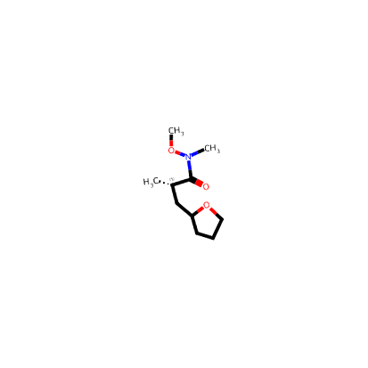 CON(C)C(=O)[C@@H](C)CC1CCCO1